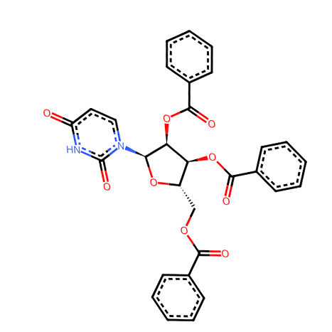 O=C(OC[C@@H]1O[C@@H](n2ccc(=O)[nH]c2=O)[C@@H](OC(=O)c2ccccc2)[C@H]1OC(=O)c1ccccc1)c1ccccc1